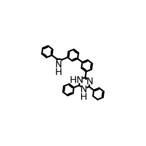 C1=CCCC(C2N=C(c3cccc(-c4cccc(C5NC5c5ccccc5)c4)c3)NC(c3ccccc3)N2)=C1